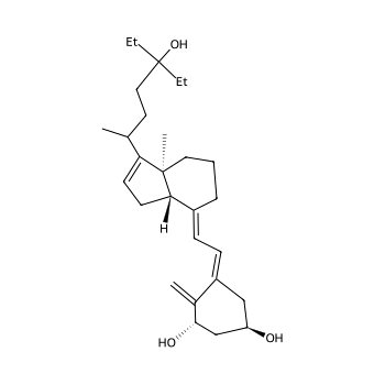 C=C1/C(=C\C=C2/CCC[C@]3(C)C(C(C)CCC(O)(CC)CC)=CC[C@@H]23)C[C@@H](O)C[C@@H]1O